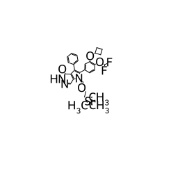 C[Si](C)(C)CCOCn1c(-c2ccc(OC(F)F)c(OC3CCC3)c2)c(-c2ccccc2)c2c(=O)[nH]ncc21